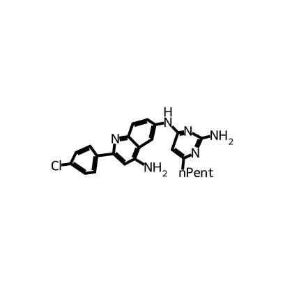 CCCCCc1cc(Nc2ccc3nc(-c4ccc(Cl)cc4)cc(N)c3c2)nc(N)n1